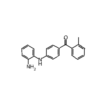 Cc1ccccc1C(=O)c1ccc(Nc2ccccc2N)cc1